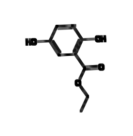 CCOC(=O)c1cc(O)c[c]c1O